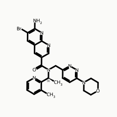 Cc1cccnc1[C@H](C)N(Cc1ccc(N2CCOCC2)nn1)C(=O)c1cnc2nc(N)c(Br)cc2c1